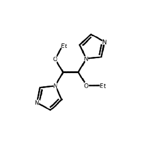 CCOC(C(OCC)n1ccnc1)n1ccnc1